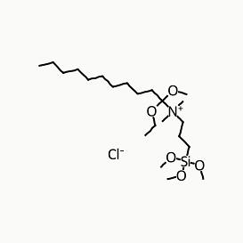 CCCCCCCCCCC(OC)(OCC)[N+](C)(C)CCC[Si](OC)(OC)OC.[Cl-]